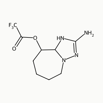 NC1=NN2CCCCC(OC(=O)C(F)(F)F)C2N1